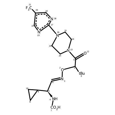 CC(C)(C)C(O/N=C/[C@@H](NC(=O)O)C1CC1)C(=O)N1CCN(c2ncc(C(F)(F)F)cn2)CC1